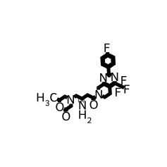 CC1CN(C[C@@H](N)CC(=O)N2CCc3c(nc(-c4ccc(F)cc4)nc3C(F)(F)F)C2)CC(=O)O1